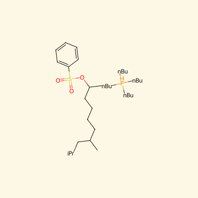 CC(C)CC(C)CCCCC(C)OS(=O)(=O)c1ccccc1.CCCC[PH](CCCC)(CCCC)CCCC